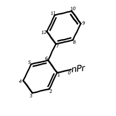 CCCC1=CCCC=C1c1ccccc1